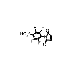 O=C1C=CC(=O)N1c1c(F)c(F)c(S(=O)(=O)O)c(F)c1F